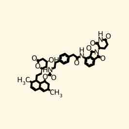 CC1C=C2C=CC(C)C(CC[C@@H]3C[C@@H](O)CC(=O)O3)C2C(OC(=O)NCCc2ccc(CC(=O)Nc3cccc4c3C(=O)N(C3CCC(=O)NC3=O)C4=O)cc2)C1